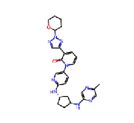 Cc1cnc(N[C@H]2CC[C@H](Nc3ccc(-n4cccc(-c5cnn(C6CCCCO6)n5)c4=O)cn3)C2)cn1